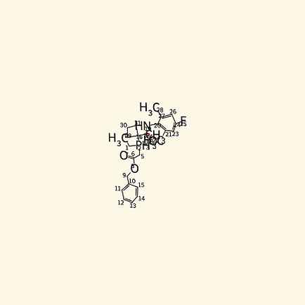 CC[PH](CC)(CC(=O)OCc1ccccc1)C1(C(=O)Nc2c(C)cc(F)cc2C)CCC1